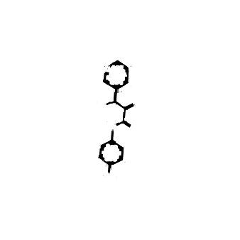 C=C(C(=O)Oc1ccc(C)cc1)C(O)c1cccnc1